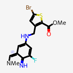 CN/C=C1/C=C(NCc2cc(Br)sc2C(=O)OC)C=C(F)C1=N